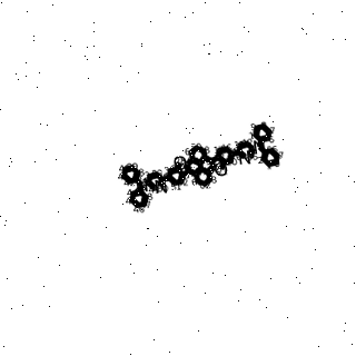 c1ccc(N(c2ccccc2)c2ccc(-c3ccc4c(c3)oc3c5c6c(c7c(oc8cc(-c9ccc(N(c%10ccccc%10)c%10ccccc%10)cn9)ccc87)c7c6c(c34)CCC7)CCC5)nc2)cc1